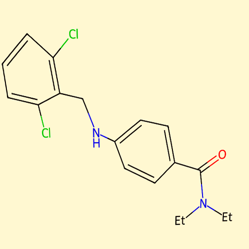 CCN(CC)C(=O)c1ccc(NCc2c(Cl)cccc2Cl)cc1